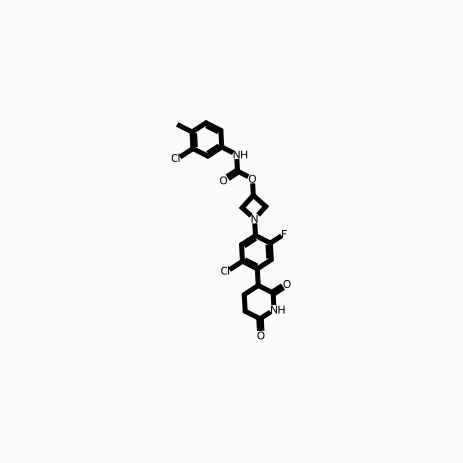 Cc1ccc(NC(=O)OC2CN(c3cc(Cl)c(C4CCC(=O)NC4=O)cc3F)C2)cc1Cl